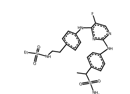 CCS(=O)(=O)NCCc1ccc(Nc2nc(Nc3ccc(C(C)S(N)(=O)=O)cc3)ncc2F)cc1